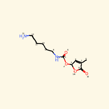 CC1=CC(OC(=O)NCCCCCN)OC1=O